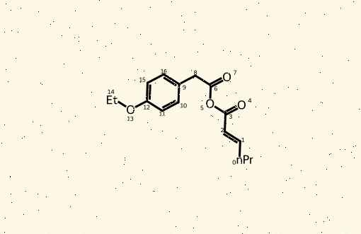 CCC/C=C/C(=O)OC(=O)Cc1ccc(OCC)cc1